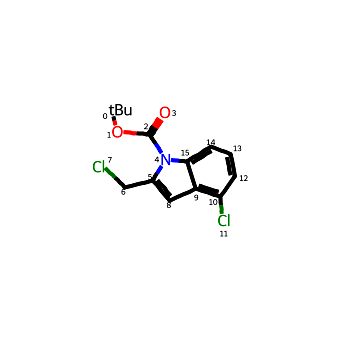 CC(C)(C)OC(=O)n1c(CCl)cc2c(Cl)cccc21